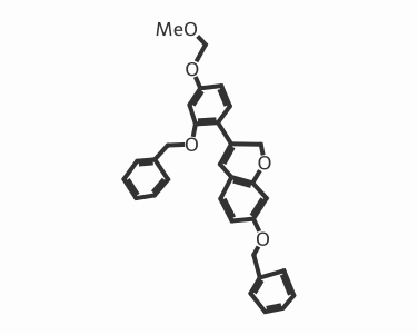 COCOc1ccc(C2=Cc3ccc(OCc4ccccc4)cc3OC2)c(OCc2ccccc2)c1